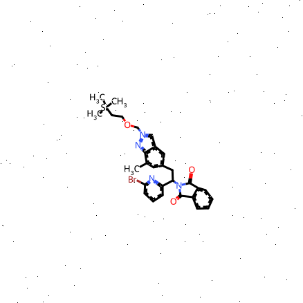 Cc1cc(CC(c2cccc(Br)n2)N2C(=O)c3ccccc3C2=O)cc2cn(COCC[Si](C)(C)C)nc12